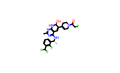 Cc1nc2c(c(N[C@H](C)c3cccc(C(F)F)c3F)n1)C=C(C1=CCN(C(=O)CF)CC1)C(O)N2